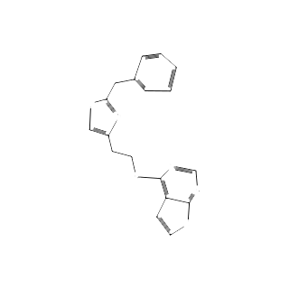 c1ccc(Cc2nc(CCNc3ncnc4sccc34)cs2)cc1